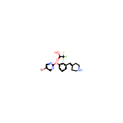 Brc1cnc(Oc2cccc(C=C3CCNCC3)c2)nc1.O=C(O)C(F)(F)F